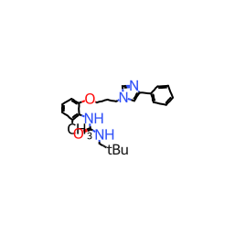 Cc1cccc(OCCCn2cnc(-c3ccccc3)c2)c1NC(=O)NCC(C)(C)C